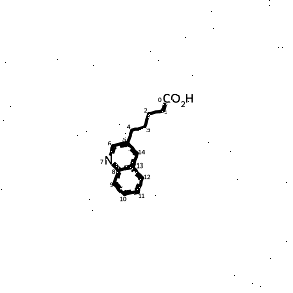 O=C(O)CCCCc1cnc2ccccc2c1